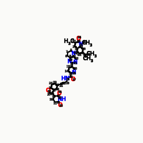 Cc1cc2c(N3CCCc4nc(-c5ccc(C(=O)NCC#Cc6ccc7occ(C8CCC(=O)NC8=O)c7c6)nc5)ncc43)cc(C(C)C)cc2n(C)c1=O